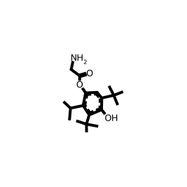 CC(C)c1c(OC(=O)CN)cc(C(C)(C)C)c(O)c1C(C)(C)C